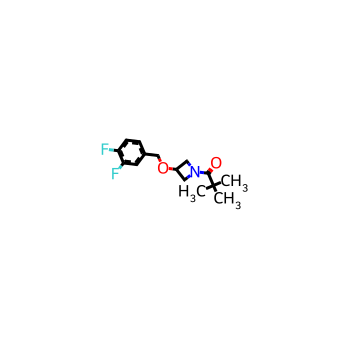 CC(C)(C)C(=O)N1CC(OCc2ccc(F)c(F)c2)C1